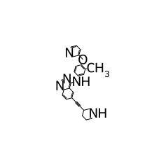 Cc1cc(Nc2ncnc3ccc(C#CC4CCCNC4)cc23)ccc1Oc1cccnc1